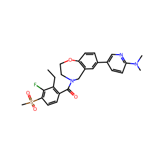 CCc1c(C(=O)N2CCOc3ccc(-c4ccc(N(C)C)nc4)cc3C2)ccc(S(C)(=O)=O)c1F